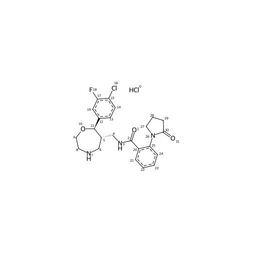 Cl.O=C(NC[C@@H]1CNCCO[C@H]1c1ccc(Cl)c(F)c1)c1ccccc1N1CCCC1=O